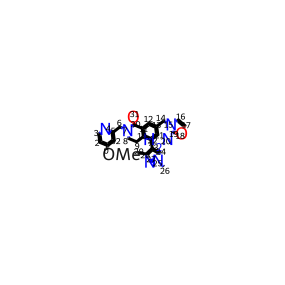 COc1ccnc(CN2CCc3c(cc(CN4C=COC4N)cc3-c3cn(C)nc3C)C2=O)c1